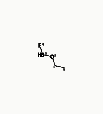 CCOBF